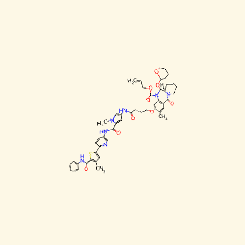 C=CCOC(=O)N1c2cc(OCCCC(=O)Nc3cc(C(=O)Nc4ccc(-c5cc(C)c(C(=O)Nc6ccccc6)s5)nc4)n(C)c3)c(C)cc2C(=O)N2CCCC[C@H]2C1OC1CCCCO1